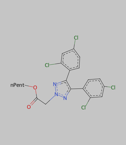 CCCCCOC(=O)Cn1nc(-c2ccc(Cl)cc2Cl)c(-c2ccc(Cl)cc2Cl)n1